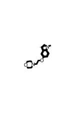 Cn1c[c]c2cc(OCCN3CCOCC3)ccc21